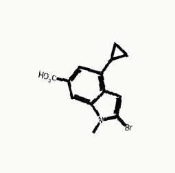 Cn1c(Br)cc2c(C3CC3)cc(C(=O)O)cc21